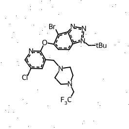 CC(C)(C)Cn1nnc2c(Br)c(Oc3ncc(Cl)cc3CN3CCN(CC(F)(F)F)CC3)ccc21